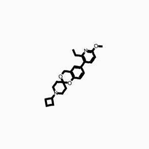 CCc1nc(OC)ccc1-c1ccc2c(c1)COC1(CCN(C3CCC3)CC1)O2